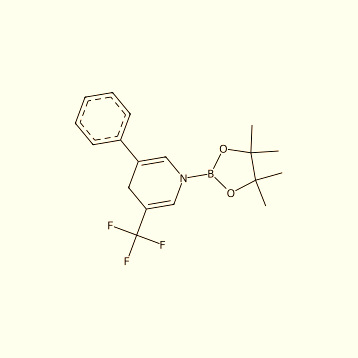 CC1(C)OB(N2C=C(c3ccccc3)CC(C(F)(F)F)=C2)OC1(C)C